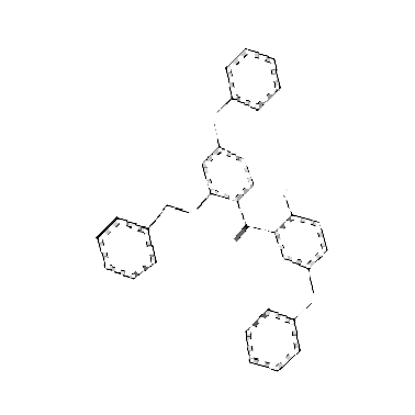 O=C(c1cc(Sc2ccccc2)ccc1O)c1ccc(Sc2ccccc2)cc1SCc1ccccc1